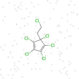 ClCCC1(Cl)C(Cl)=C(Cl)C(Cl)=C1Cl